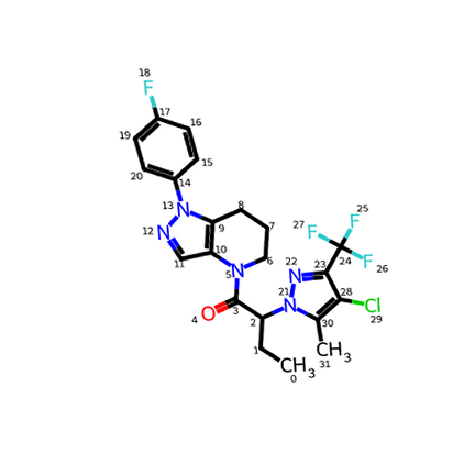 CCC(C(=O)N1CCCc2c1cnn2-c1ccc(F)cc1)n1nc(C(F)(F)F)c(Cl)c1C